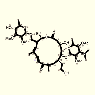 CC[C@H]1OC(=O)C[C@@H](O)[C@H](C)[C@@H](O[C@@H]2OC(C)[C@@H](OC(C)=O)C(N(C)C)C2OC(C)=O)[C@@H](CCO)C[C@@H](C)C(=O)/C=C/C(C)=C/C1CO[C@@H]1OC(C)[C@@H](O)C(OC)C1OC